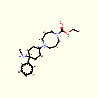 CCOC(=O)N1CCCN(C2CCC(NC)(c3ccccc3)CC2)CCC1